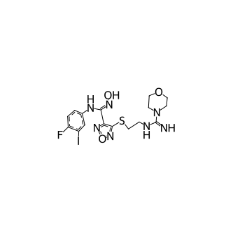 N=C(NCCSc1nonc1/C(=N/O)Nc1ccc(F)c(I)c1)N1CCOCC1